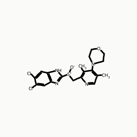 Cc1cnc(C[S+]([O-])c2nc3cc(Cl)c(Cl)cc3[nH]2)c(C)c1N1CCOCC1